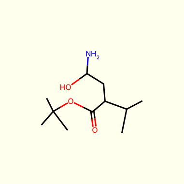 CC(C)C(CC(N)O)C(=O)OC(C)(C)C